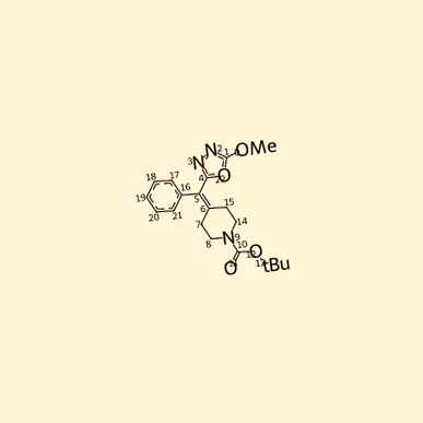 COc1nnc(C(=C2CCN(C(=O)OC(C)(C)C)CC2)c2ccccc2)o1